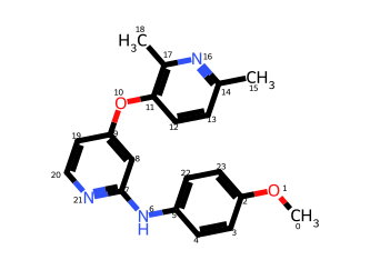 COc1ccc(Nc2cc(Oc3ccc(C)nc3C)ccn2)cc1